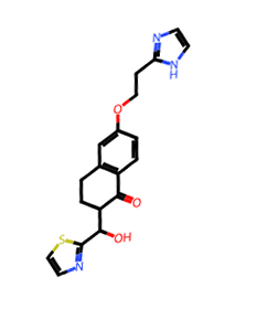 O=C1c2ccc(OCCc3ncc[nH]3)cc2CCC1C(O)c1nccs1